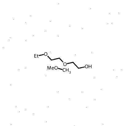 CCOCCOCCO.COC